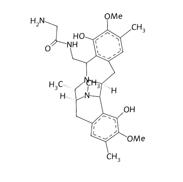 COc1c(C)cc2c(c1O)C1[C@@H]3Cc4cc(C)c(OC)c(O)c4C(CNC(=O)CN)N3[C@@H](C)[C@H](C2)N1C